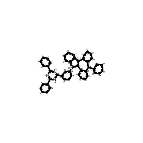 c1ccc(-c2nc(-c3ccccc3)nc(-c3cccc(-n4c5c(c6ccccc64)-c4ccccc4C(c4ccccc4)c4ccccc4-5)c3)n2)cc1